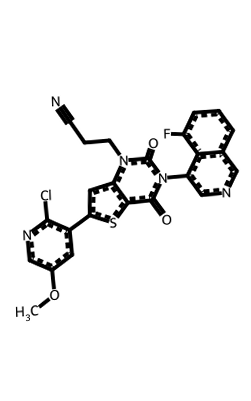 COc1cnc(Cl)c(-c2cc3c(s2)c(=O)n(-c2cncc4cccc(F)c24)c(=O)n3CCC#N)c1